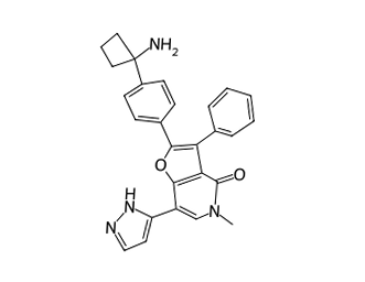 Cn1cc(-c2ccn[nH]2)c2oc(-c3ccc(C4(N)CCC4)cc3)c(-c3ccccc3)c2c1=O